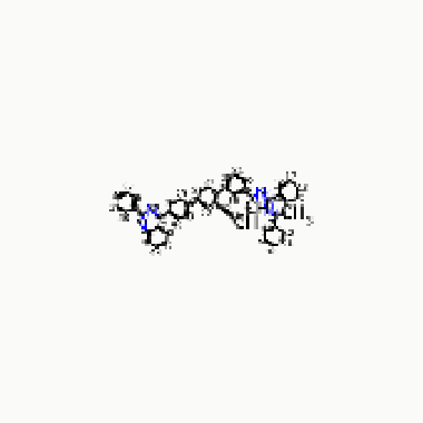 C=C(/N=C(\N=C(/C)c1ccccc1)C1=CCCC=C1)c1cccc(-c2ccc(-c3ccc(-c4nc(-c5ccccc5)nc5ccccc45)cc3)cc2C#CC)c1